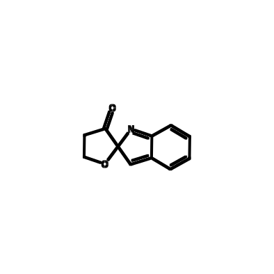 O=C1CCOC12C=c1ccccc1=N2